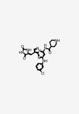 O=C1NC(=O)C(=Cc2cnn3c(NC(=O)C4CCNCC4)cc(Nc4cccc(Cl)c4)nc23)N1